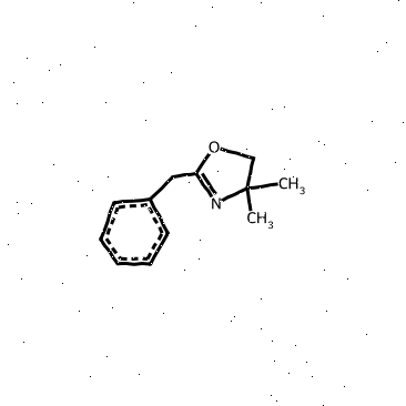 CC1(C)COC(Cc2ccccc2)=N1